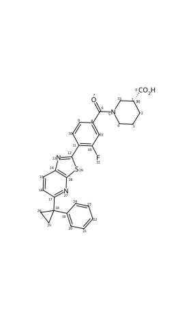 O=C(O)[C@@H]1CCCN(C(=O)c2ccc(-c3nc4ccc(C5(c6ccccc6)CC5)nc4s3)c(F)c2)C1